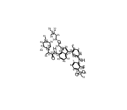 Cc1cnc(Nc2cccc(S(C)(=O)=O)c2F)nc1-c1cn(COCC[Si](C)(C)C)c2c(NC(=O)C(C)N3CCN(C)C[C@H]3C)cccc12